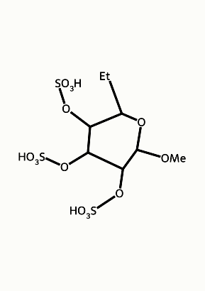 CCC1OC(OC)C(OS(=O)(=O)O)C(OS(=O)(=O)O)C1OS(=O)(=O)O